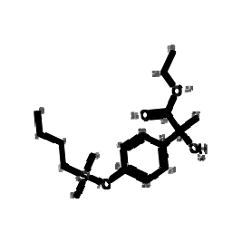 CCCC[Si](C)(C)Oc1ccc(C(C)(O)C(=O)OCC)cc1